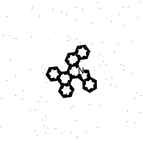 c1ccc2c(c1)ccc1c3c4ccccc4c4ccccc4c3c3c4ccccc4cn3c21